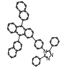 c1ccc(-c2nnc(-c3ccccc3)n2-c2ccc(-c3ccc4c(-c5ccc6ccccc6c5)c5ccccc5c(-c5ccc6ccccc6c5)c4c3)cc2)cc1